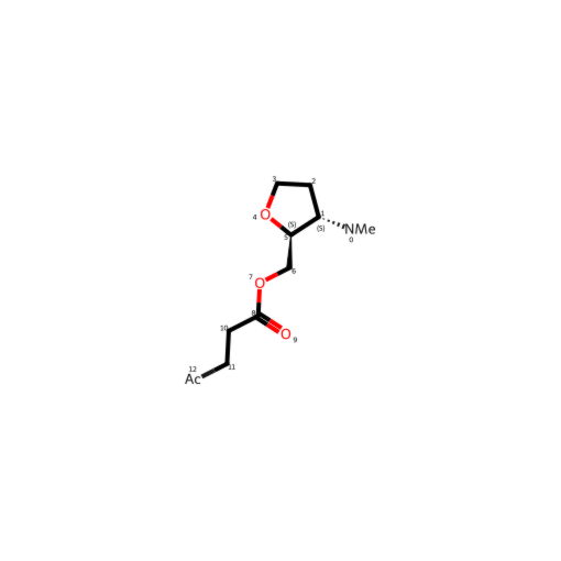 CN[C@H]1CCO[C@@H]1COC(=O)CCC(C)=O